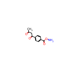 CC(=O)CC(=O)c1ccc(C(=O)ON)cc1